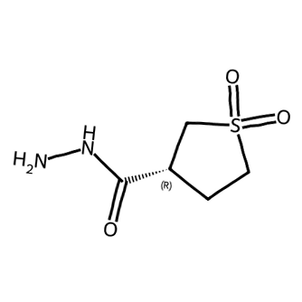 NNC(=O)[C@H]1CCS(=O)(=O)C1